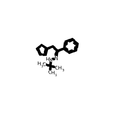 CC(C)(C)NN=C(CC1=CC=CC1)c1ccccc1